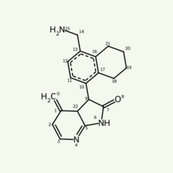 C=C1C=CN=C2NC(=O)C(c3ccc(CN)c4c3CCCC4)C12